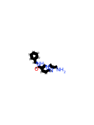 NCc1cn2cc(C(=O)NCc3ccccc3)ccc2n1